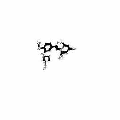 COc1ccc(/C=C/n2c(C)cc(=O)cc2C)cc1O[C@@H]1CC[S@@+]([O-])C1